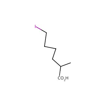 CC(CCCCI)C(=O)O